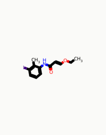 CCOC=CC(=O)Nc1cccc(I)c1C